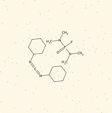 C(=NC1CCCCC1)=NC1CCCCC1.CN(C)P(=O)(F)N(C)C